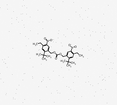 CCc1cc(C(C)(C)C)c(COC(=O)OCc2cc([N+](=O)[O-])c(CC)cc2C(C)(C)C)cc1[N+](=O)[O-]